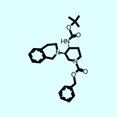 CC(C)(C)OC(=O)N[C@@H]1CCN(C(=O)OCc2ccccc2)C[C@H]1N1CCc2ccccc2C1